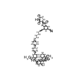 COc1cc(N2CCC(N3CCN(CCCCCC#Cc4cc(C#N)cc5c4CN(C4CCC(=O)NC4=O)C5=O)CC3)CC2)ccc1Nc1ncc(Cl)c(Nc2ccccc2P(C)(C)=O)n1